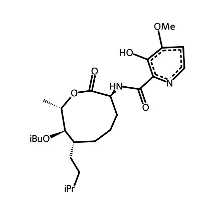 COc1ccnc(C(=O)N[C@H]2CCC[C@H](CCC(C)C)[C@@H](OCC(C)C)[C@H](C)OC2=O)c1O